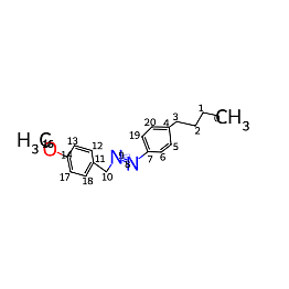 CCCCc1ccc(/N=N/Cc2ccc(OC)cc2)cc1